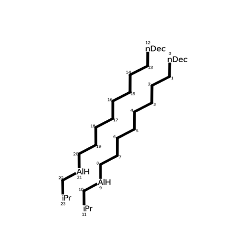 CCCCCCCCCCCCCCCCC[CH2][AlH][CH2]C(C)C.CCCCCCCCCCCCCCCCC[CH2][AlH][CH2]C(C)C